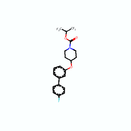 O=C(OC(C(F)(F)F)C(F)(F)F)N1CCC(Oc2cccc(-c3ccc(F)cc3)c2)CC1